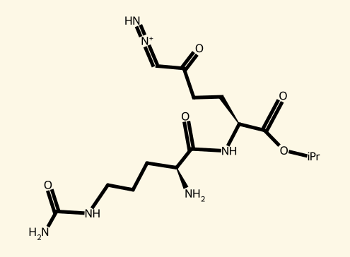 CC(C)OC(=O)[C@H](CCC(=O)C=[N+]=N)NC(=O)[C@@H](N)CCCNC(N)=O